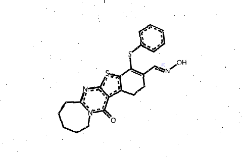 O=c1c2c3c(sc2nc2n1CCCCC2)C(Sc1ccccc1)=C(/C=N/O)CC3